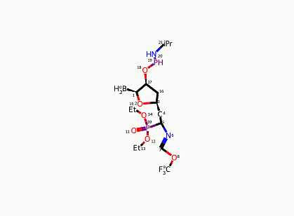 B[C@@H]1O[C@H](CC(N=COC(F)(F)F)P(=O)(OCC)OCC)C[C@@H]1OPNC(C)C